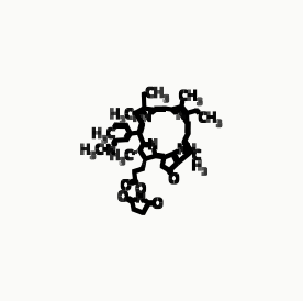 C\C=C/C(=C\C=N\C)c1c2nc(c3c4[nH]c(cc5nc(cc6[nH]c1c(C)c6CC)C(C)=C5CC)c(C)c4C(=O)C3)[C@@H](CCC(=O)ON1C(=O)CCC1=O)[C@@H]2C